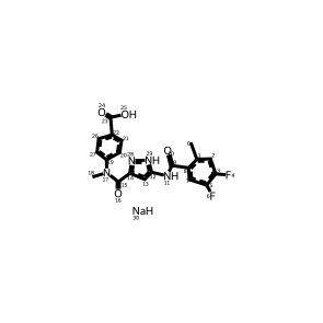 Cc1cc(F)c(F)cc1C(=O)Nc1cc(C(=O)N(C)c2ccc(C(=O)O)cc2)n[nH]1.[NaH]